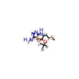 CSCCC(Nc1nnc(N)s1)C(=O)OC(C)(C)C